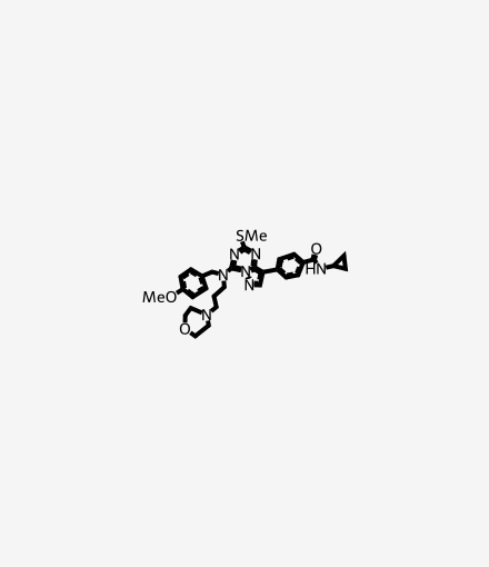 COc1ccc(CN(CCCN2CCOCC2)c2nc(SC)nc3c(-c4ccc(C(=O)NC5CC5)cc4)cnn23)cc1